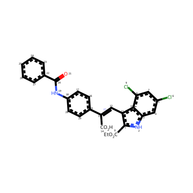 CCOC(=O)c1[nH]c2cc(Cl)cc(Cl)c2c1/C=C(\C(=O)O)c1ccc(NC(=O)c2ccccc2)cc1